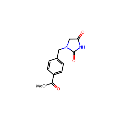 COC(=O)c1ccc(CN2CC(=O)NC2=O)cc1